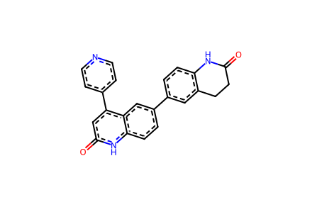 O=C1CCc2cc(-c3ccc4[nH]c(=O)cc(-c5ccncc5)c4c3)ccc2N1